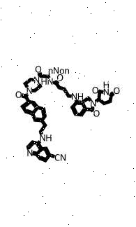 CCCCCCCCC[C@H](NC(=O)CCCNc1cccc2c1CN(C1CCC(=O)NC1=O)C2=O)C(=O)N1CCN(C(=O)c2ccc3cc(CCNc4ccnc5ccc(C#N)cc45)ccc3c2)CC1